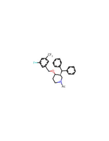 CC(=O)N1CC[C@@H](OCc2cc(F)cc(C(F)(F)F)c2)[C@@H](C(c2ccccc2)c2ccccc2)C1